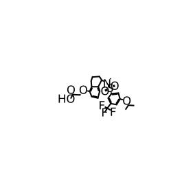 CC(C)Oc1cc(C(F)(F)F)cc(S(=O)(=O)N(C)C2CCCc3c(OCC(=O)O)cccc32)c1